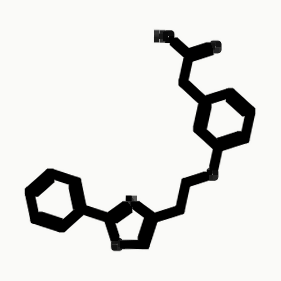 O=C(O)Cc1cccc(OCCc2coc(-c3ccccc3)n2)c1